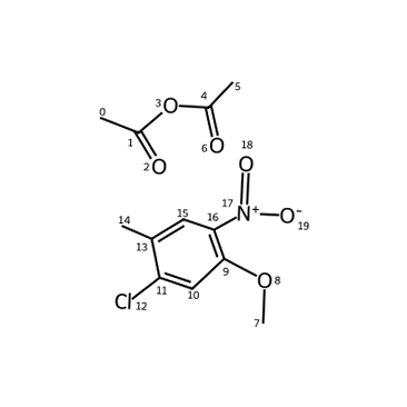 CC(=O)OC(C)=O.COc1cc(Cl)c(C)cc1[N+](=O)[O-]